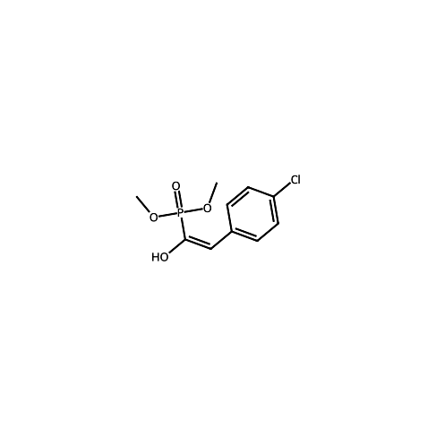 COP(=O)(OC)C(O)=Cc1ccc(Cl)cc1